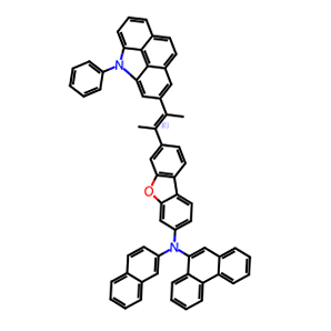 C/C(=C(/C)c1cc2ccc3cccc4c3c2c(c1)n4-c1ccccc1)c1ccc2c(c1)oc1cc(N(c3ccc4ccccc4c3)c3cc4ccccc4c4ccccc34)ccc12